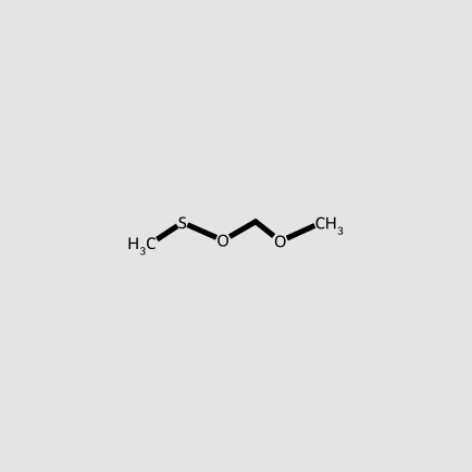 COCOSC